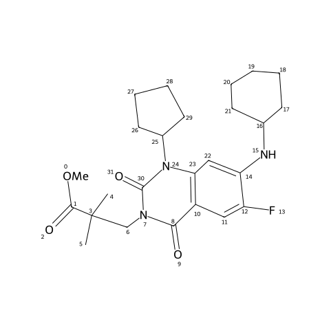 COC(=O)C(C)(C)Cn1c(=O)c2cc(F)c(NC3CCCCC3)cc2n(C2CCCC2)c1=O